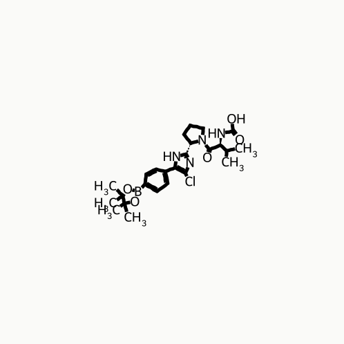 CC(C)[C@H](NC(=O)O)C(=O)N1CCC[C@H]1c1nc(Cl)c(-c2ccc(B3OC(C)(C)C(C)(C)O3)cc2)[nH]1